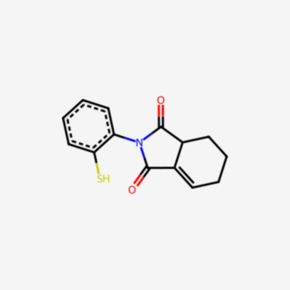 O=C1C2=CCCCC2C(=O)N1c1ccccc1S